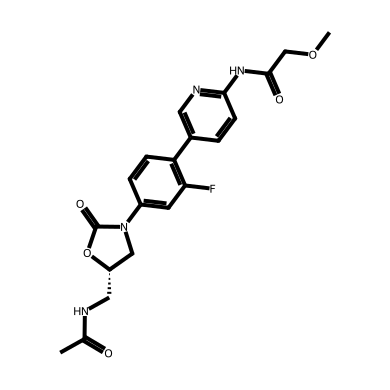 COCC(=O)Nc1ccc(-c2ccc(N3C[C@H](CNC(C)=O)OC3=O)cc2F)cn1